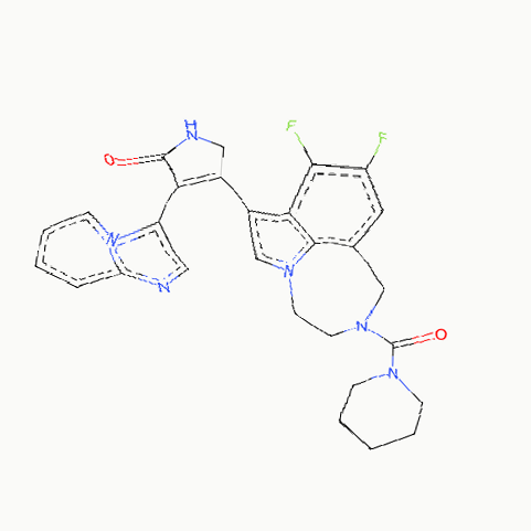 O=C1NCC(c2cn3c4c(cc(F)c(F)c24)CN(C(=O)N2CCCCC2)CC3)=C1c1cnc2ccccn12